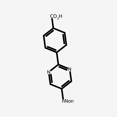 CCCCCCCCCc1cnc(-c2ccc(C(=O)O)cc2)nc1